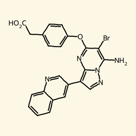 Nc1c(Br)c(Oc2ccc(CC(=O)O)cc2)nc2c(-c3cnc4ccccc4c3)cnn12